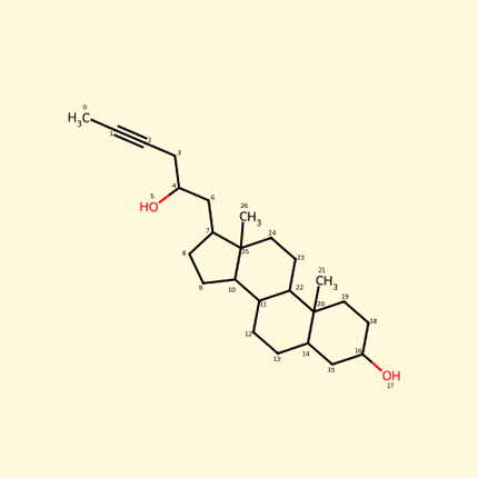 CC#CCC(O)CC1CCC2C3CCC4CC(O)CCC4(C)C3CCC12C